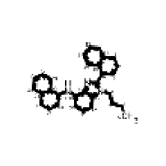 CCCCn1c(-c2cccc3ccccc23)nc2c(Nc3cccc4ccccc34)cccc21